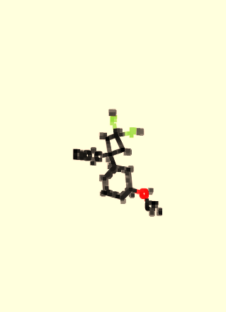 CCOC(=O)C1(c2cccc(OC(F)(F)F)c2)CC(F)(F)C1